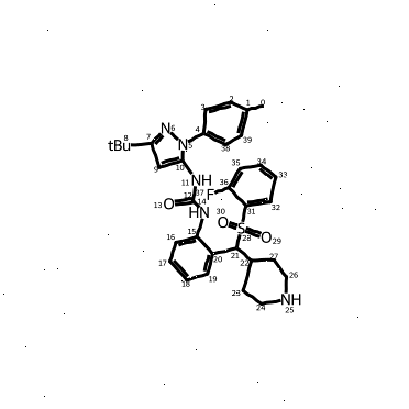 Cc1ccc(-n2nc(C(C)(C)C)cc2NC(=O)Nc2ccccc2C(C2CCNCC2)S(=O)(=O)c2ccccc2F)cc1